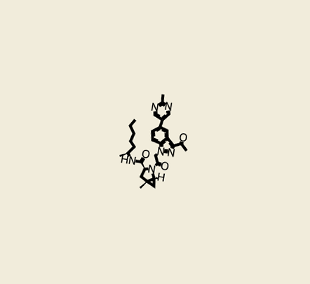 CCCCC[C@H](C)NC(=O)[C@@H]1C[C@@]2(C)C[C@H]2N1C(=O)Cn1nc(C(C)=O)c2cc(-c3cnc(C)nc3)ccc21